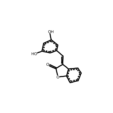 O=C1Oc2ccccc2C1=Cc1cc(O)cc(O)c1